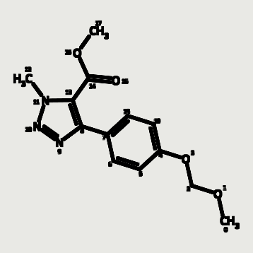 COCOc1ccc(-c2nnn(C)c2C(=O)OC)cc1